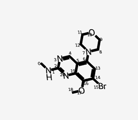 CNc1ncc2c(N3CCOCC3)cc(Br)c(OC)c2n1